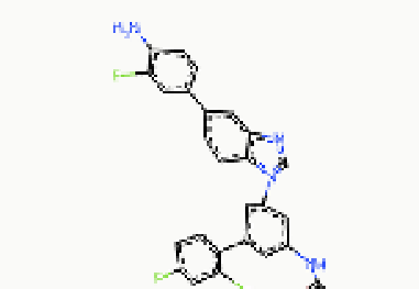 CC(=O)Nc1cc(-c2ccc(F)cc2F)cc(-n2cnc3cc(-c4ccc(N)c(F)c4)ccc32)c1